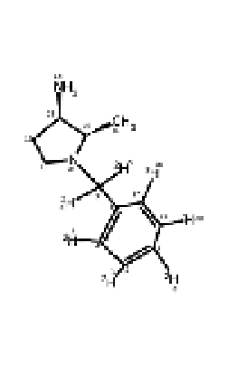 [2H]c1c([2H])c([2H])c(C([2H])([2H])N2CC[C@@H](N)[C@H]2C)c([2H])c1[2H]